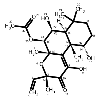 C=C[C@]1(C)O[C@@]2(C)C(=C(O)C1=O)[C@@]1(C)[C@@H](O)CCC(C)(C)[C@@H]1[C@H](O)[C@@H]2OC(C)=O